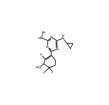 CC(C)Nc1nc(NC2CC2)nc(C2=C(F)C(O)C(F)(F)CC2)n1